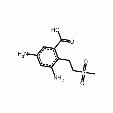 CS(=O)(=O)CCc1c(N)cc(N)cc1C(=O)O